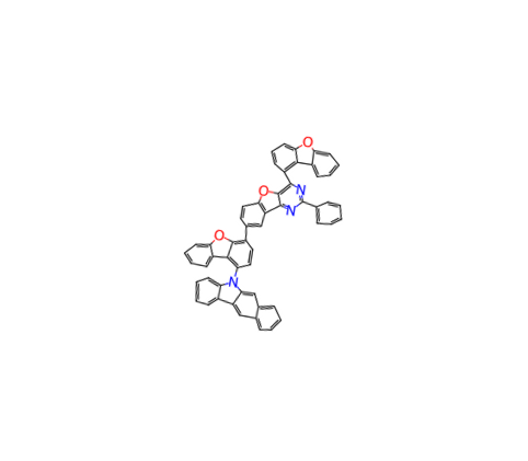 c1ccc(-c2nc(-c3cccc4oc5ccccc5c34)c3oc4ccc(-c5ccc(-n6c7ccccc7c7cc8ccccc8cc76)c6c5oc5ccccc56)cc4c3n2)cc1